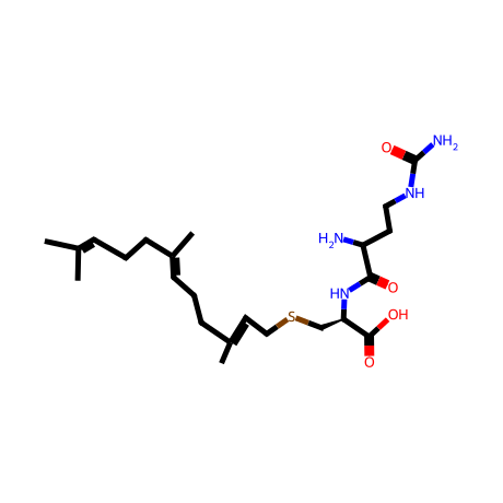 CC(C)=CCCC(C)=CCCC(C)=CCSC[C@@H](NC(=O)C(N)CCNC(N)=O)C(=O)O